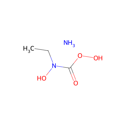 CCN(O)C(=O)OO.N